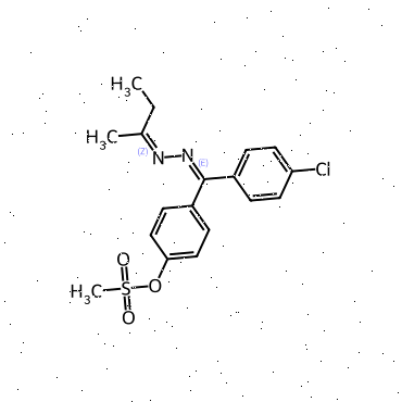 CC/C(C)=N\N=C(\c1ccc(Cl)cc1)c1ccc(OS(C)(=O)=O)cc1